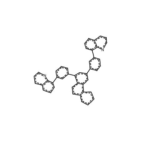 c1cc(-c2cc(-c3cccc(-c4cccc5cccnc45)c3)c3ccc4ccccc4c3c2)cc(-c2cccc3cccnc23)c1